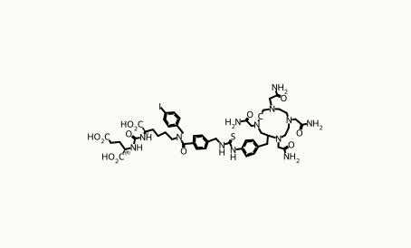 NC(=O)CN1CCN(CC(N)=O)CCN(CC(N)=O)C(Cc2ccc(NC(=S)NCc3ccc(C(=O)N(CCCC[C@@H](NC(=O)N[C@H](CCC(=O)O)C(=O)O)C(=O)O)Cc4ccc(I)cc4)cc3)cc2)CN(CC(N)=O)CC1